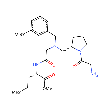 COC(=O)[C@H](CCSC)NC(=O)CN(Cc1cccc(OC)c1)C[C@@H]1CCCN1C(=O)CN